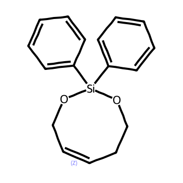 C1=C\CO[Si](c2ccccc2)(c2ccccc2)OCC/1